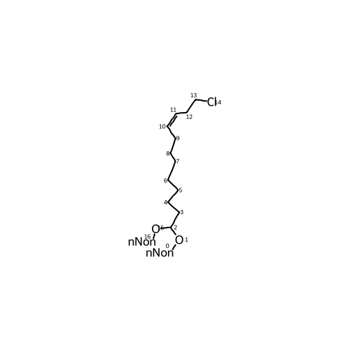 CCCCCCCCCOC(CCCCCCC/C=C\CCCl)OCCCCCCCCC